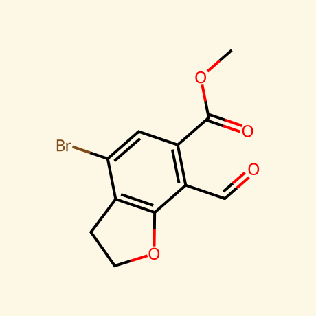 COC(=O)c1cc(Br)c2c(c1C=O)OCC2